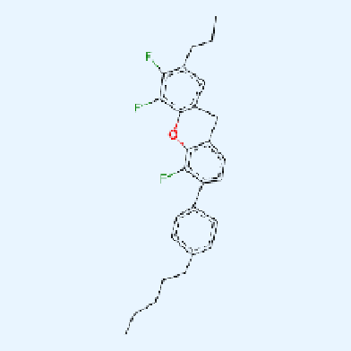 CCCCCc1ccc(-c2ccc3c(c2F)Oc2c(cc(CCC)c(F)c2F)C3)cc1